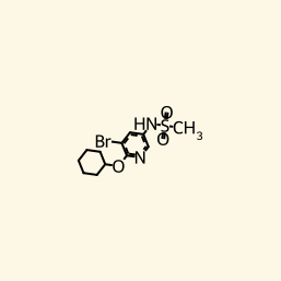 CS(=O)(=O)Nc1cnc(OC2CCCCC2)c(Br)c1